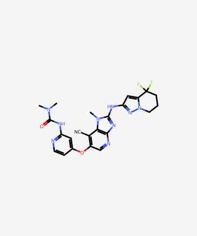 CN(C)C(=O)Nc1cc(Oc2cnc3nc(Nc4cc5n(n4)CCCC5(F)F)n(C)c3c2C#N)ccn1